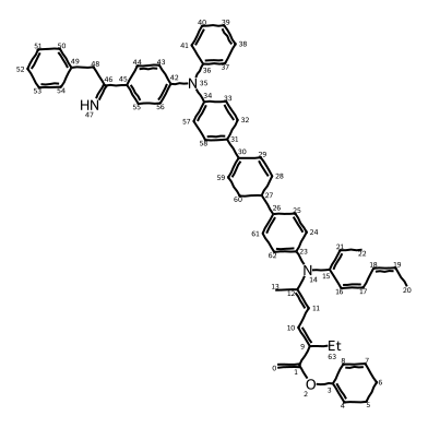 C=C(OC1=CCCC=C1)/C(=C/C=C(\C)N(C(/C=C\C=C/C)=C/C)c1ccc(C2C=CC(c3ccc(N(c4ccccc4)c4ccc(C(=N)Cc5ccccc5)cc4)cc3)=CC2)cc1)CC